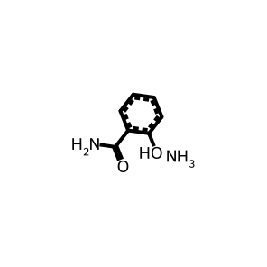 N.NC(=O)c1ccccc1O